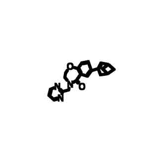 O=C1c2cc(C3=CC4CC(C3)C4)ccc2OCCN1Cc1ncccn1